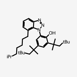 CC(C)CCCCCc1cccc2nnn(-c3cc(C(C)(C)CC(C)(C)C)cc(C(C)(C)CC(C)(C)C)c3O)c12